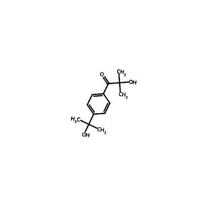 CC(C)(O)C(=O)c1ccc(C(C)(C)O)cc1